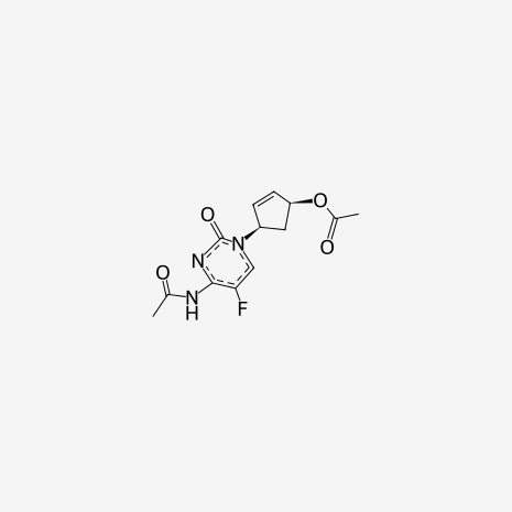 CC(=O)Nc1nc(=O)n([C@H]2C=C[C@@H](OC(C)=O)C2)cc1F